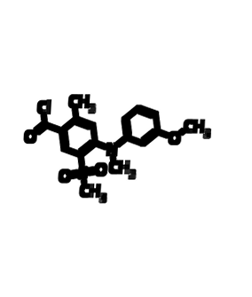 COc1cccc(N(C)c2cc(C)c(C(=O)Cl)cc2S(C)(=O)=O)c1